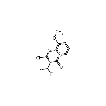 COc1cccn2c(=O)c(C(F)F)c(Cl)nc12